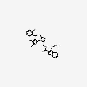 Cc1sc(-n2c(C)nnc2CNC(=O)c2cc3ccccc3n2CC(=O)O)c(C(=O)c2ccccc2Cl)c1C